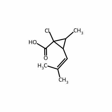 CC(C)=CC1C(C)C1(Cl)C(=O)O